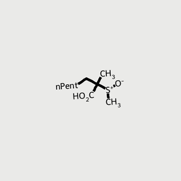 CCCCCCC(C)(C(=O)O)[S+](C)[O-]